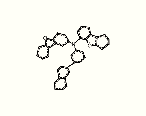 c1cc(-c2ccc3ccccc3c2)cc(N(c2ccc3oc4ccccc4c3c2)c2cccc3c2oc2ccccc23)c1